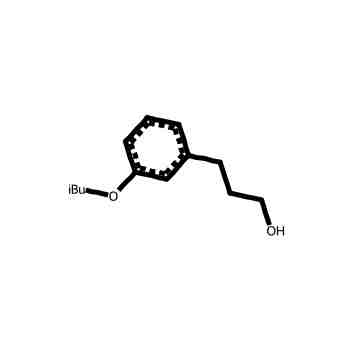 CCC(C)Oc1cccc(CCCO)c1